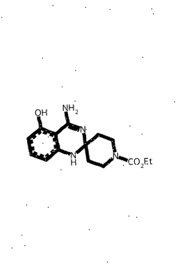 CCOC(=O)N1CCC2(CC1)N=C(N)c1c(O)cccc1N2